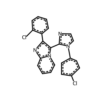 Clc1ccc(-n2ccnc2-c2c(-c3ccccc3Cl)nc3ccccn23)cc1